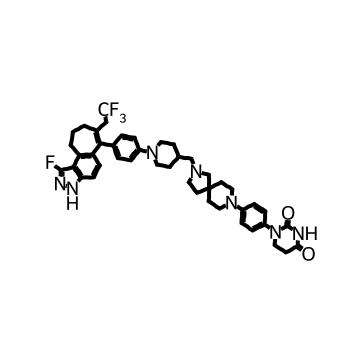 O=C1CCN(c2ccc(N3CCC4(CCN(CC5CCN(c6ccc(C7=C(CC(F)(F)F)CCCc8c7ccc7[nH]nc(F)c87)cc6)CC5)C4)CC3)cc2)C(=O)N1